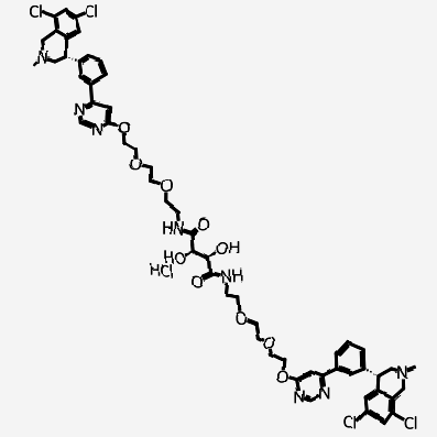 CN1Cc2c(Cl)cc(Cl)cc2[C@H](c2cccc(-c3cc(OCCOCCOCCNC(=O)[C@H](O)[C@@H](O)C(=O)NCCOCCOCCOc4cc(-c5cccc([C@@H]6CN(C)Cc7c(Cl)cc(Cl)cc76)c5)ncn4)ncn3)c2)C1.Cl